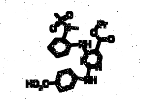 CC(C)OC(=O)c1cnc(Nc2ccc(C(=O)O)cc2)nc1Nc1ccccc1N(C)S(C)(=O)=O